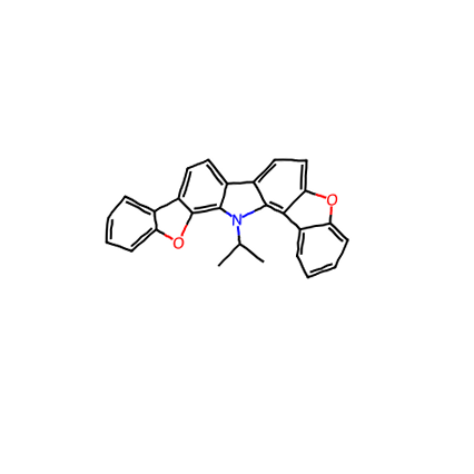 CC(C)n1c2c(ccc3c4ccccc4oc32)c2ccc3oc4ccccc4c3c21